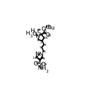 CN1CC(CCCn2cc(S(N)(=O)=O)cn2)CC1(C)C(=O)OC(C)(C)C